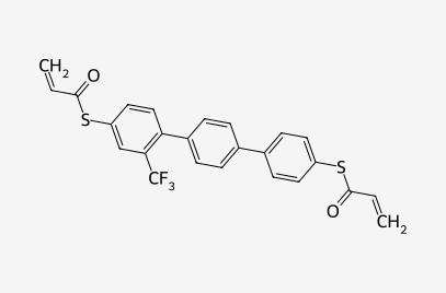 C=CC(=O)Sc1ccc(-c2ccc(-c3ccc(SC(=O)C=C)cc3C(F)(F)F)cc2)cc1